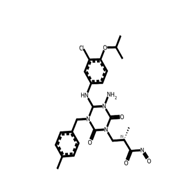 Cc1ccc(CN2C(=O)N(C[C@H](C)C(=O)N=O)C(=O)N(N)C2Nc2ccc(OC(C)C)c(Cl)c2)cc1